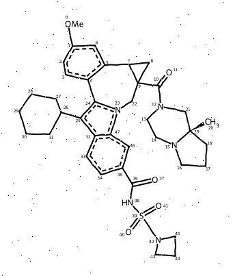 COc1ccc2c(c1)C1CC1(C(=O)N1CCN3CCC[C@@]3(C)C1)Cn1c-2c(C2CCCCC2)c2ccc(C(=O)NS(=O)(=O)N3CCC3)cc21